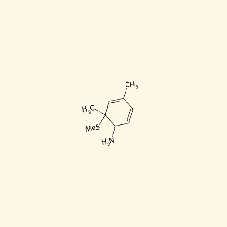 CSC1(C)C=C(C)C=CC1N